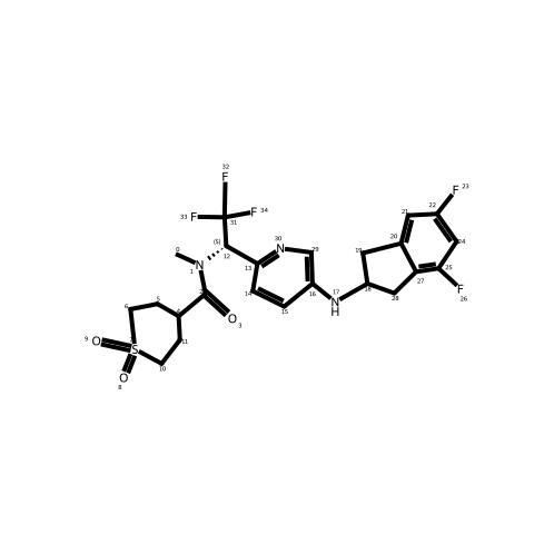 CN(C(=O)C1CCS(=O)(=O)CC1)[C@@H](c1ccc(NC2Cc3cc(F)cc(F)c3C2)cn1)C(F)(F)F